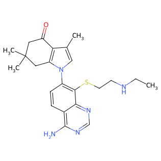 CCNCCSc1c(-n2cc(C)c3c2CC(C)(C)CC3=O)ccc2c(N)ncnc12